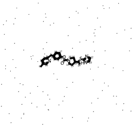 Cc1ccc(Cc2ccc(OC(=O)N3CCC(C(C)Sc4ncc[nH]4)CC3)cc2)nc1